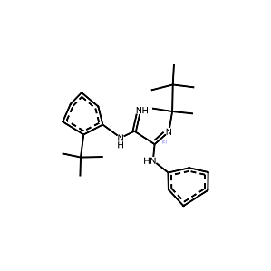 CC(C)(C)c1ccccc1NC(=N)/C(=N\C(C)(C)C(C)(C)C)Nc1ccccc1